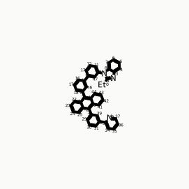 CCc1nc2ccccc2n1-c1cccc(-c2cccc(-c3c4ccccc4c(-c4cccc(-c5ccccn5)c4)c4ccccc34)c2)c1